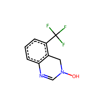 ON1C=Nc2cccc(C(F)(F)F)c2C1